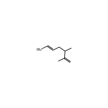 C=C(C)C(C)CC=CC(C)(C)C